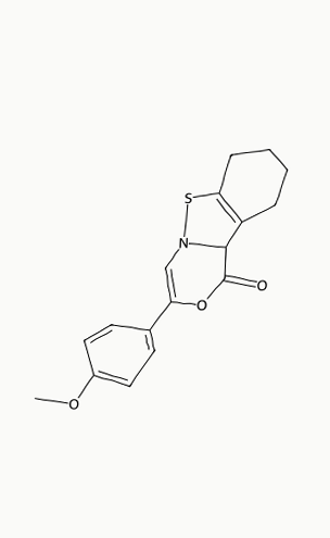 COc1ccc(C2=CN3SC4=C(CCCC4)C3C(=O)O2)cc1